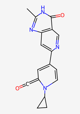 Cc1nc2cc(C3=CC(=C=O)N(C4CC4)C=C3)ncc2c(=O)[nH]1